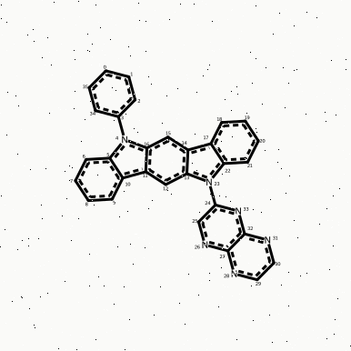 c1ccc(-n2c3ccccc3c3cc4c(cc32)c2ccccc2n4-c2cnc3nccnc3n2)cc1